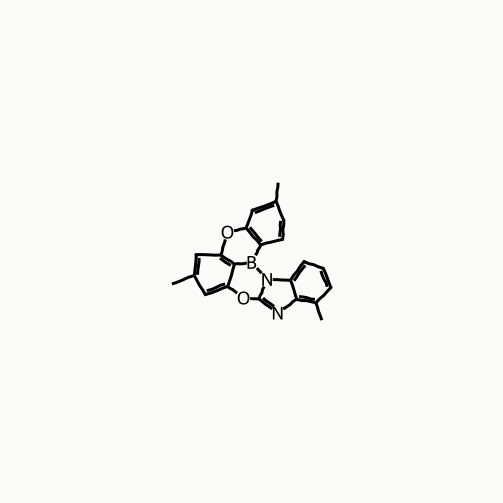 Cc1ccc2c(c1)Oc1cc(C)cc3c1B2n1c(nc2c(C)cccc21)O3